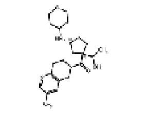 CC(O)[C@]1(C(=O)N2CCc3ncc(C(F)(F)F)cc3C2)CC[C@@H](NC2CCOCC2)C1